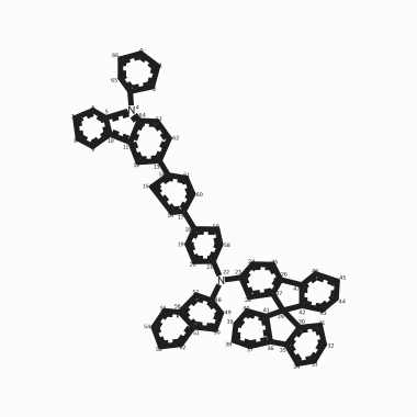 c1ccc(-n2c3ccccc3c3cc(-c4ccc(-c5ccc(N(c6ccc7c(c6)C6(c8ccccc8-c8ccccc86)c6ccccc6-7)c6ccc7ccccc7c6)cc5)cc4)ccc32)cc1